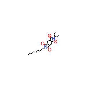 CCCCCCCCCN1C(=O)C2CC3C(=O)N(C(CC)CC)C(=O)C3CC2C1=O